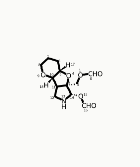 O=COC[C@@]12O[C@H]3CCCO[C@H]3C1CN[C@H]2OC=O